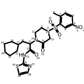 Cc1ccc([N+](=O)[O-])cc1S(=O)(=O)N1CCN(C(CC2CCCCC2)C(=O)Nc2nccs2)C(=O)C1